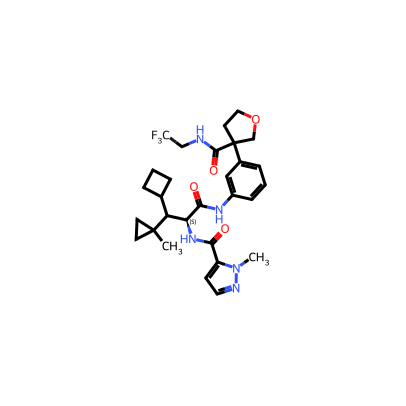 Cn1nccc1C(=O)N[C@H](C(=O)Nc1cccc(C2(C(=O)NCC(F)(F)F)CCOC2)c1)C(C1CCC1)C1(C)CC1